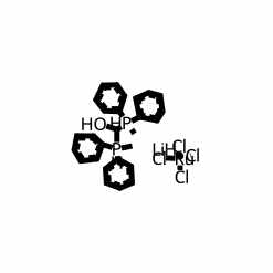 C[PH](c1ccccc1)(c1ccccc1)C(O)[PH](C)(c1ccccc1)c1ccccc1.[Cl][Ru]([Cl])([Cl])[Cl].[LiH]